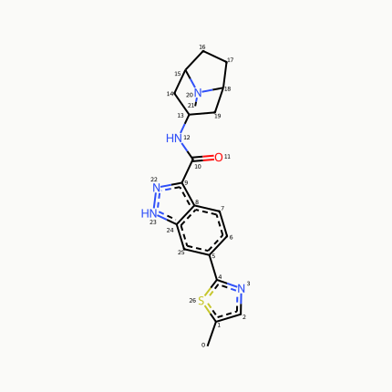 Cc1cnc(-c2ccc3c(C(=O)NC4CC5CCC(C4)N5C)n[nH]c3c2)s1